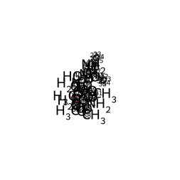 CC(=O)OC[C@H]1O[C@@H](O[C@H]2[C@H](O[C@H]3O[C@H](CN)[C@@H](OCc4ccccc4)[C@H](F)[C@H]3OCc3ccccc3)[C@@H](N)[C@H](O)[C@@H](N)[C@@H]2OC(C)=O)[C@H](OC(C)=O)[C@@H]1O[C@H]1O[C@@H](CN)[C@@H](OC(C)=O)[C@H](OC(C)=O)[C@H]1N